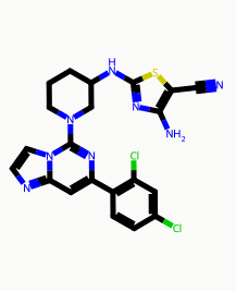 N#Cc1sc(NC2CCCN(c3nc(-c4ccc(Cl)cc4Cl)cc4nccn34)C2)nc1N